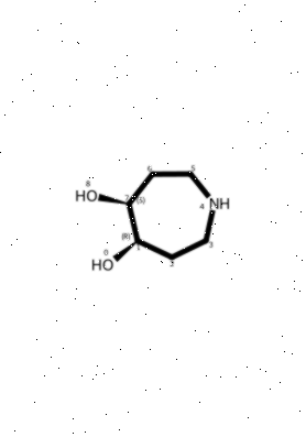 O[C@@H]1CCNCC[C@@H]1O